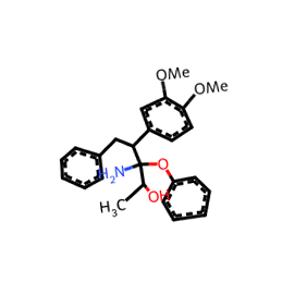 COc1ccc(C(Cc2ccccc2)C(N)(Oc2ccccc2)C(C)O)cc1OC